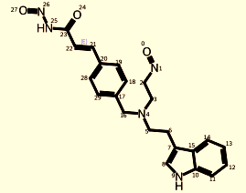 O=NCCN(CCc1c[nH]c2ccccc12)Cc1ccc(/C=C/C(=O)NN=O)cc1